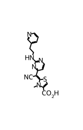 CN1C(C(=O)O)=CSC1=C(C#N)c1ccnc(NCCc2cccnc2)n1